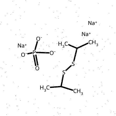 CC(C)SSC(C)C.O=P([O-])([O-])[O-].[Na+].[Na+].[Na+]